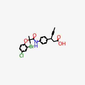 CC#CC(CC(=O)O)c1ccc(NC(=O)C(C)(C)Oc2ccc(Cl)cc2Br)cc1